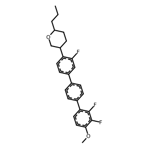 CCCC1CCC(c2ccc(-c3ccc(-c4ccc(OC)c(F)c4F)cc3)cc2F)CO1